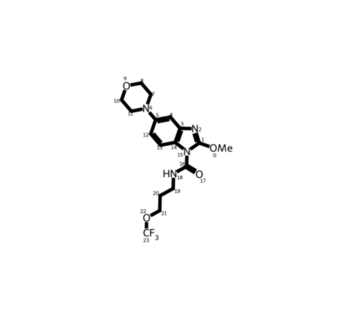 COc1nc2cc(N3CCOCC3)ccc2n1C(=O)NCCCOC(F)(F)F